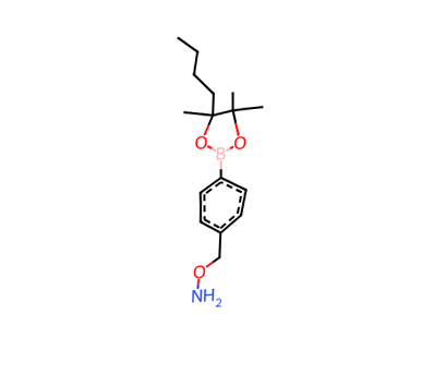 CCCCC1(C)OB(c2ccc(CON)cc2)OC1(C)C